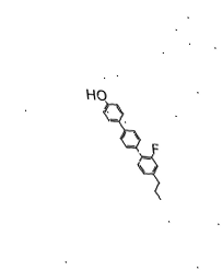 CCCc1ccc(-c2ccc(-c3ccc(O)cc3)cc2)c(F)c1